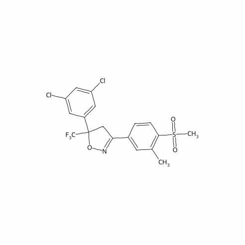 Cc1cc(C2=NOC(c3cc(Cl)cc(Cl)c3)(C(F)(F)F)C2)ccc1S(C)(=O)=O